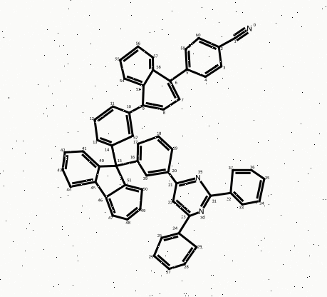 N#Cc1ccc(-c2ccc(-c3cccc(C4(c5cccc(-c6cc(-c7ccccc7)nc(-c7ccccc7)n6)c5)c5ccccc5-c5ccccc54)c3)c3ccccc23)cc1